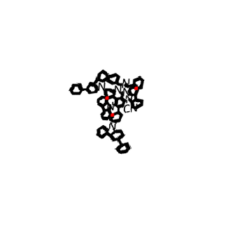 N#Cc1c(-c2ccc(-n3c4ccccc4c4cc(-c5ccccc5)ccc43)cc2)c(-n2c3ccccc3c3ccccc32)c(-c2ccc(-n3c4ccccc4c4cc(-c5ccccc5)ccc43)cc2)c(-c2nc(-c3ccccc3)nc(-c3ccccc3)n2)c1-n1c2ccccc2c2ccccc21